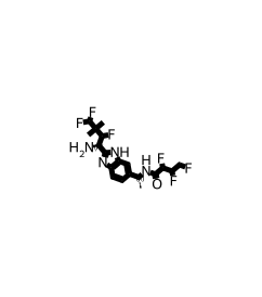 C[C@@H](NC(=O)C(F)C(F)CF)c1ccc2nc([C@@H](N)C(F)C(C)(C)C(F)F)[nH]c2c1